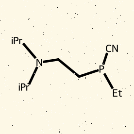 CCP(C#N)CCN(C(C)C)C(C)C